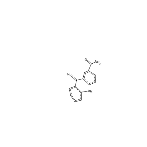 [CH]=C(c1cccc(C(N)=O)c1)c1ccccc1O